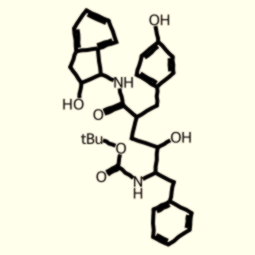 CC(C)(C)OC(=O)NC(Cc1ccccc1)C(O)CC(Cc1ccc(O)cc1)C(=O)NC1c2ccccc2CC1O